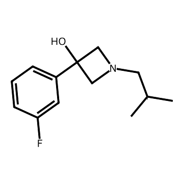 C[C](C)CN1CC(O)(c2cccc(F)c2)C1